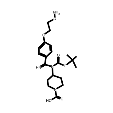 CC(C)(C)OC(=O)N(C(=N)c1ccc(OCCON)cc1)C1CCN(C(=O)O)CC1